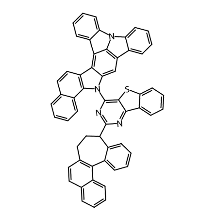 c1ccc2c(c1)-c1c(ccc3ccccc13)CCC2c1nc(-n2c3cc4c5ccccc5n5c6ccccc6c(c3c3ccc6ccccc6c32)c45)c2sc3ccccc3c2n1